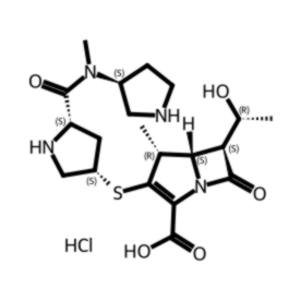 C[C@@H](O)[C@H]1C(=O)N2C(C(=O)O)=C(S[C@@H]3CN[C@H](C(=O)N(C)[C@H]4CCNC4)C3)[C@H](C)[C@H]12.Cl